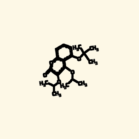 CC(C)Oc1c(OC(C)C)c2c(OC(C)(C)C)cccc2oc1=O